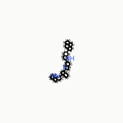 C1=CC(c2ccc3ccc4cccc5ccc2c3c45)CC2NC(c3ccc4ccc(-c5ccc(C6C=Cc7ccc8cccnc8c7N6)c6ccccc56)nc4c3)=CC=C12